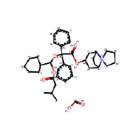 CC(C)CC(=O)OC(OC(C(=O)OC1CC2CCC(C1)[N+]21CCCC1)(c1ccccc1)c1ccccc1)C1CCCCC1.O=C[O-]